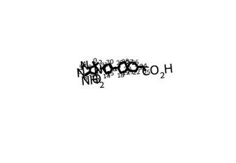 CC1(C)c2ncnc(N)c2C(=O)N1c1ccc(C2CCC3(CCC(CC(=O)O)CC3)CC2)cc1